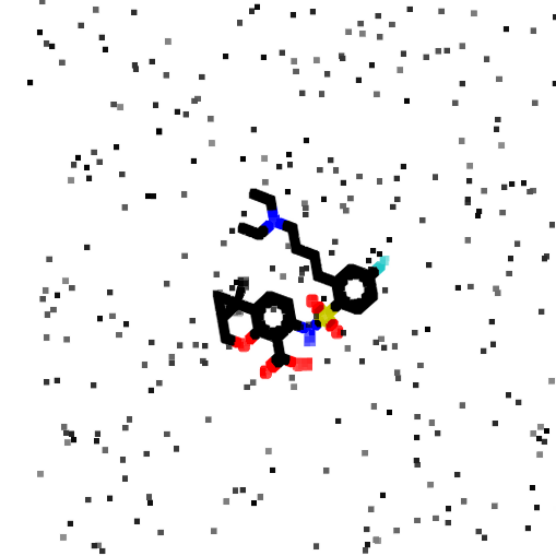 CCN(CC)CCCCc1cc(F)ccc1S(=O)(=O)Nc1ccc2c(c1C(=O)O)OCC1C[C@H]21